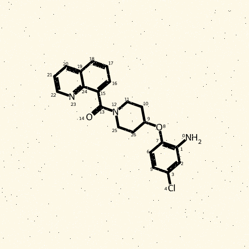 Nc1cc(Cl)ccc1OC1CCN(C(=O)c2cccc3cccnc23)CC1